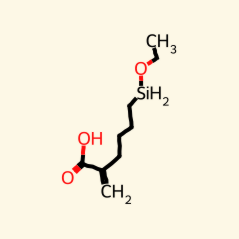 C=C(CCCC[SiH2]OCC)C(=O)O